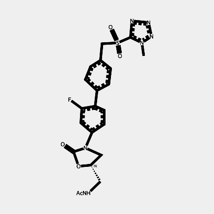 CC(=O)NC[C@H]1CN(c2ccc(-c3ccc(CS(=O)(=O)c4nnnn4C)cc3)c(F)c2)C(=O)O1